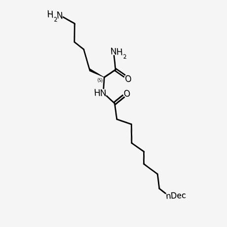 CCCCCCCCCCCCCCCCCC(=O)N[C@@H](CCCCN)C(N)=O